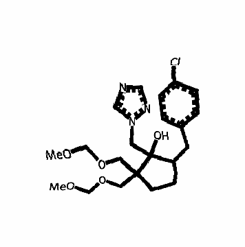 COCOCC1(COCOC)CCC(Cc2ccc(Cl)cc2)C1(O)Cn1cncn1